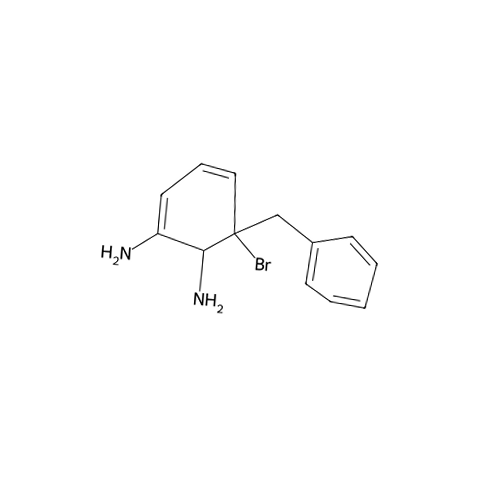 NC1=CC=CC(Br)(Cc2ccccc2)C1N